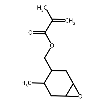 C=C(C)C(=O)OCC1CC2OC2CC1C